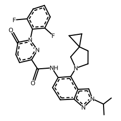 CC(C)n1cc2c(N3CCC4(CC4)C3)c(NC(=O)c3ccc(=O)n(-c4c(F)cccc4F)n3)ccc2n1